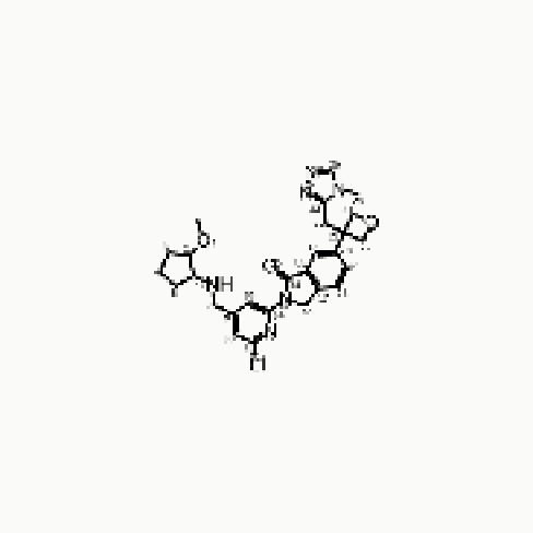 COC1CCCC1NCc1cc(Cl)nc(N2Cc3ccc(C4(Cc5nncn5C)COC4)cc3C2=O)c1